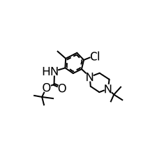 Cc1cc(Cl)c(N2CCN(C(C)(C)C)CC2)cc1NC(=O)OC(C)(C)C